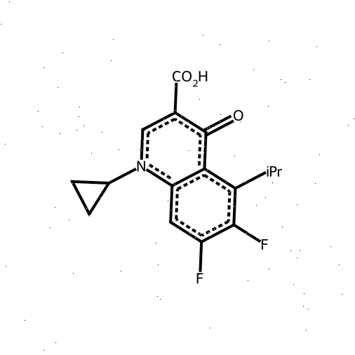 CC(C)c1c(F)c(F)cc2c1c(=O)c(C(=O)O)cn2C1CC1